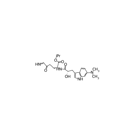 CC(C)OC(=O)[C@H](CCC(=O)C=N)NC(=O)[C@@H](O)Cc1c[nH]c2cc(N(C)C)ccc12